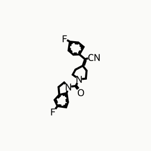 N#CC(=C1CCN(C(=O)N2CCc3cc(F)ccc32)CC1)c1ccc(F)cc1